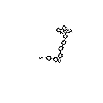 N#Cc1ccc(-c2ccc3oc4ccc(-c5ccc(-c6ccc(-c7ccc(C(=N)NC8NC=CC=C8c8ccccc8)cc7)cc6)cc5)cc4c3c2)cc1